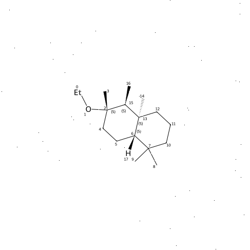 CCO[C@@]1(C)CC[C@H]2C(C)(C)CCC[C@]2(C)[C@@H]1C